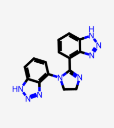 c1cc(C2=NCCN2c2cccc3[nH]nnc23)c2nn[nH]c2c1